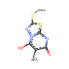 CCCCCCSc1nn2c(O)c([N+](=O)[O-])c(=O)nc2s1